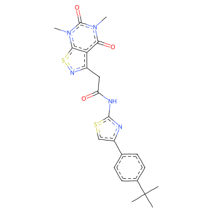 Cn1c(=O)c2c(CC(=O)Nc3nc(-c4ccc(C(C)(C)C)cc4)cs3)nsc2n(C)c1=O